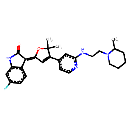 CC1CCCCN1CCNc1cc(C2=CC(=C3C(=O)Nc4cc(F)ccc43)OC2(C)C)ccn1